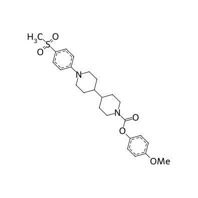 COc1ccc(OC(=O)N2CCC(C3CCN(c4ccc(S(C)(=O)=O)cc4)CC3)CC2)cc1